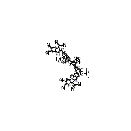 CC1(C)c2cc(/C=C3\C(=O)c4cc(C#N)c(C#N)cc4C3=C(C#N)C#N)sc2-c2sc(-c3sc(-c4cc5c(s4)-c4sc(/C=C6\C(=O)c7cc(C#N)c(C#N)cc7C6=C(C#N)C#N)cc4C5(C)C)c4c3N=S=N4)cc21